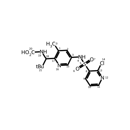 Cc1cc(NS(=O)(=O)c2cccnc2Cl)cnc1C(NC(=O)O)C(C)(C)C